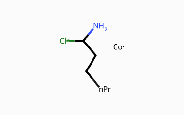 CCCCCC(N)Cl.[Co]